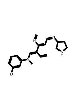 C=CC(=C\N(C)c1cccc(CC)c1)/C(=C/C=N\C1CCNC1)N=C